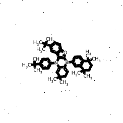 CC1(C)C=C2C(=CC1)B(c1ccc3c(c1)C(C)(C)CCC3(C)C)c1oc3ccc(C(C)(C)C)cc3c1N2c1ccc(C(C)(C)C)cc1